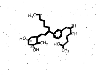 [2H]C(CCC(C)O)C([2H])Cc1cccc(C(=CC=C2C[C@@H](O)C[C@H](O)C2=C)CCCCCC)c1